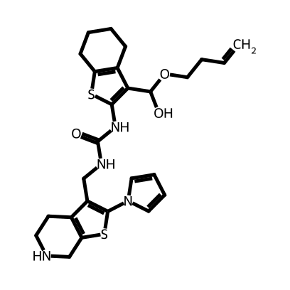 C=CCCOC(O)c1c(NC(=O)NCc2c(-n3cccc3)sc3c2CCNC3)sc2c1CCCC2